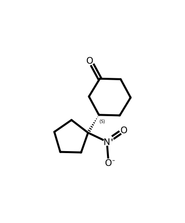 O=C1CCC[C@H](C2([N+](=O)[O-])CCCC2)C1